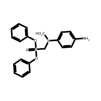 Nc1ccc(N(CP(=O)(Oc2ccccc2)Oc2ccccc2)C(=O)O)cc1